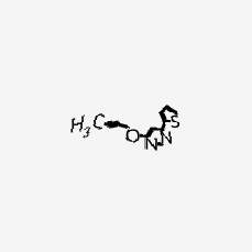 CC#CCOc1cc(-c2cccs2)ncn1